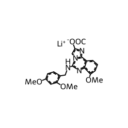 COc1ccc(CNc2nc3c(OC)cccc3c3nc(C(=O)[O-])cn23)c(OC)c1.[Li+]